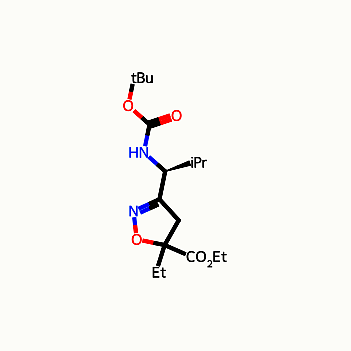 CCOC(=O)C1(CC)CC([C@@H](NC(=O)OC(C)(C)C)C(C)C)=NO1